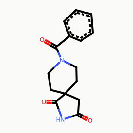 O=C1CC2(CCN(C(=O)c3ccccc3)CC2)C(=O)N1